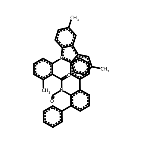 Cc1ccc2c(c1)c1cc(C)ccc1n2-c1cccc(C)c1C(=O)N(C=O)c1c(-c2ccccc2)cccc1-c1ccccc1